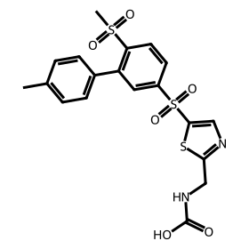 Cc1ccc(-c2cc(S(=O)(=O)c3cnc(CNC(=O)O)s3)ccc2S(C)(=O)=O)cc1